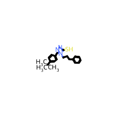 CC(C)(C)c1ccc(-c2nnc(S)n2CCCc2ccccc2)cc1